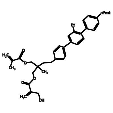 C=C(C)C(=O)OCC(C)(CCc1ccc(-c2ccc(-c3ccc(CCCCC)cc3)c(CC)c2)cc1)COC(=O)C(=C)CO